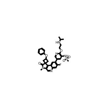 CC(C)NCCOc1ncc(-c2cc3c4c(cnc3cc2F)N(C)C(=O)C42CC(Oc3ccccc3)C2)cc1NS(C)(=O)=O